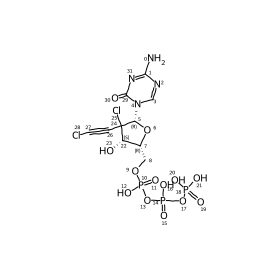 Nc1ncn([C@@H]2O[C@H](COP(=O)(O)OP(=O)(O)OP(=O)(O)O)[C@H](O)C2(Cl)C#CCl)c(=O)n1